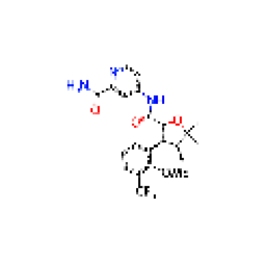 COc1c([C@H]2[C@H](C(=O)Nc3ccnc(C(N)=O)c3)OC(C)(C)[C@H]2C)cccc1C(F)(F)F